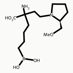 COC[C@@H]1CCCN1CCC(N)(CCCCB(O)O)C(=O)O